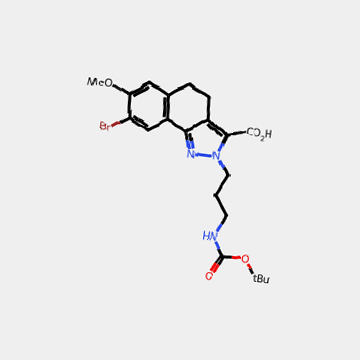 COc1cc2c(cc1Br)-c1nn(CCCNC(=O)OC(C)(C)C)c(C(=O)O)c1CC2